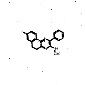 O=CNc1nc2c(nc1-c1ccccc1)-c1ccc(F)cc1CC2